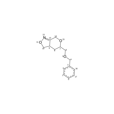 c1ccc(COCC2CC3CON=C3CO2)cc1